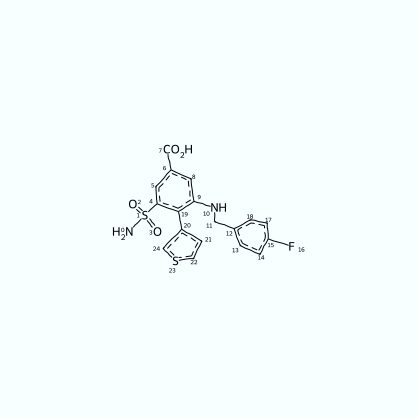 NS(=O)(=O)c1cc(C(=O)O)cc(NCc2ccc(F)cc2)c1-c1ccsc1